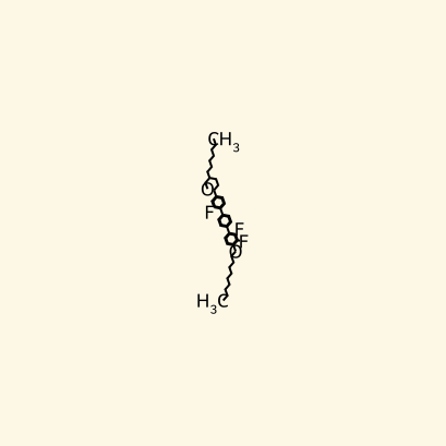 CCCCCCCCCOc1ccc(-c2ccc(-c3ccc(C4CCC(CCCCCCC)CO4)cc3F)cc2)c(F)c1F